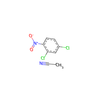 CC#N.O=[N+]([O-])c1ccc(Cl)cc1Cl